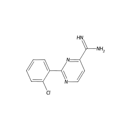 N=C(N)c1ccnc(-c2ccccc2Cl)n1